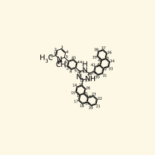 CC1=CC=CC(c2ccc(C3N=C(c4ccc5ccc6ccccc6c5c4)NC(c4ccc5ccc6ccccc6c5c4)N3)cc2)N1C